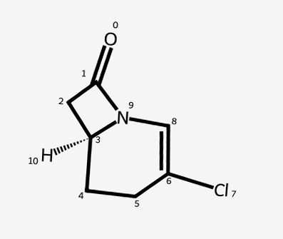 O=C1C[C@@H]2CCC(Cl)=CN12